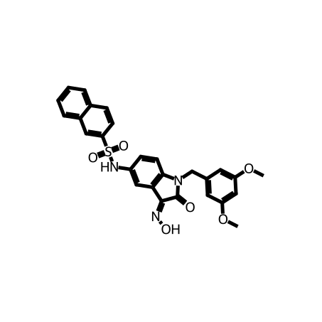 COc1cc(CN2C(=O)/C(=N\O)c3cc(NS(=O)(=O)c4ccc5ccccc5c4)ccc32)cc(OC)c1